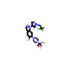 CC1(N2CCN(c3cc4c(cnn4-c4cnn(CC(F)(F)F)c4)cc3Cl)CC2)COC1